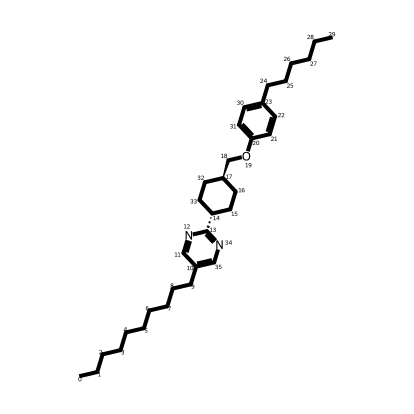 CCCCCCCCCCc1cnc([C@H]2CC[C@H](COc3ccc(CCCCCC)cc3)CC2)nc1